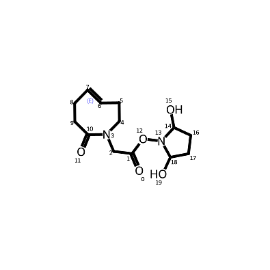 O=C(CN1CC/C=C/CCC1=O)ON1C(O)CCC1O